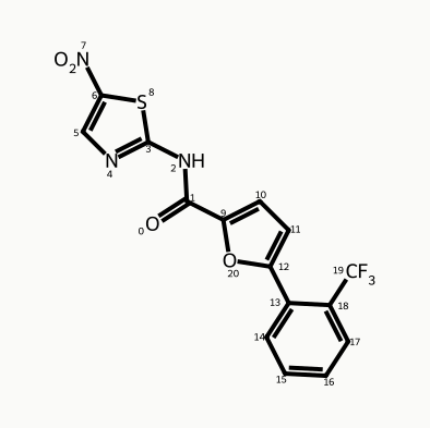 O=C(Nc1ncc([N+](=O)[O-])s1)c1ccc(-c2ccccc2C(F)(F)F)o1